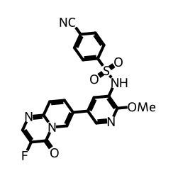 COc1ncc(-c2ccc3ncc(F)c(=O)n3c2)cc1NS(=O)(=O)c1ccc(C#N)cc1